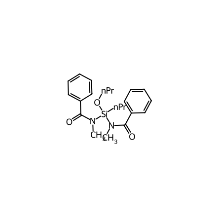 CCCO[Si](CCC)(N(C)C(=O)c1ccccc1)N(C)C(=O)c1ccccc1